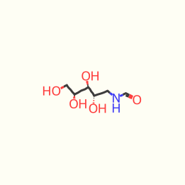 O=CNC[C@H](O)[C@H](O)[C@@H](O)CO